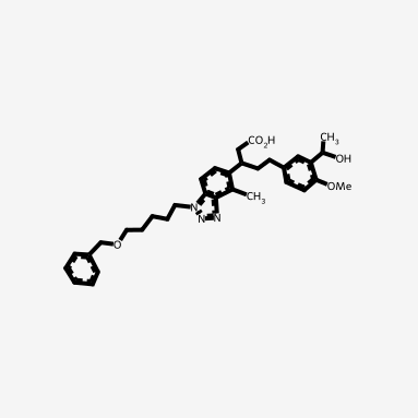 COc1ccc(CCC(CC(=O)O)c2ccc3c(nnn3CCCCCOCc3ccccc3)c2C)cc1C(C)O